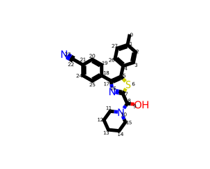 Cc1ccc(-c2sc(C(O)N3CCCCC3)nc2-c2ccc(C#N)cc2)cc1